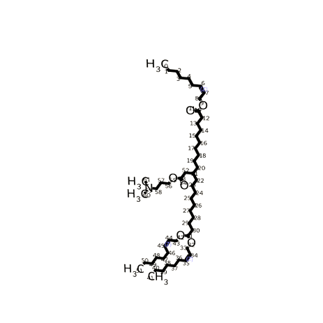 CCCCCC/C=C\COC(=O)CCCCCCCCCC(CCCCCCCCCC(OC/C=C\CCCCCC)OC/C=C\CCCCCC)CC(=O)OCCCN(C)C